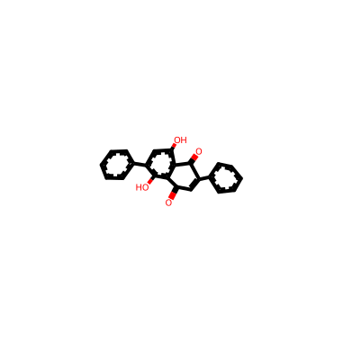 O=C1C(c2ccccc2)=CC(=O)c2c(O)c(-c3ccccc3)cc(O)c21